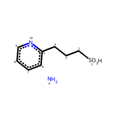 N.O=S(=O)(O)CCCc1ccccn1